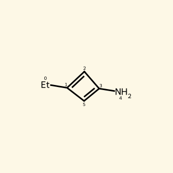 CCC1=CC(N)=C1